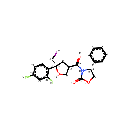 O=C1OC[C@@H](c2ccccc2)N1C(=O)C1CO[C@@](CI)(c2ccc(F)cc2F)C1